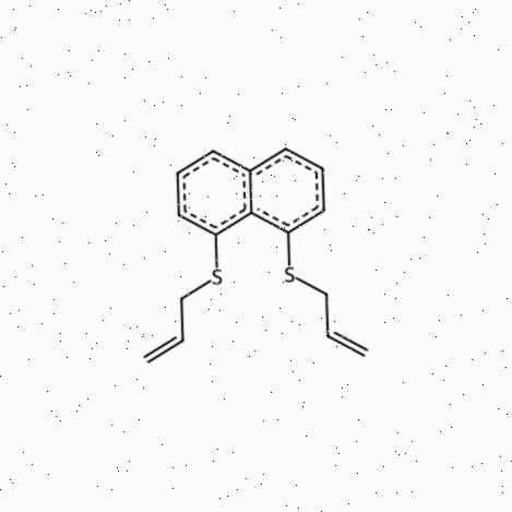 C=CCSc1cccc2cccc(SCC=C)c12